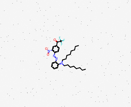 CCCCCCCCN(CCCCCCCC)c1ccccc1N=Nc1ccc(C(=O)C(F)(F)F)cc1[N+](=O)[O-]